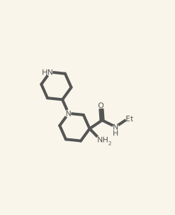 CCNC(=O)C1(N)CCCN(C2CCNCC2)C1